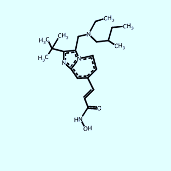 CCC(C)CN(CC)Cc1c(C(C)(C)C)nc2cc(C=CC(=O)NO)ccn12